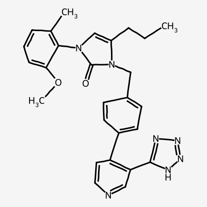 CCCc1cn(-c2c(C)cccc2OC)c(=O)n1Cc1ccc(-c2ccncc2-c2nnn[nH]2)cc1